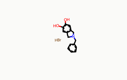 Br.Oc1cc2c(cc1O)CN(Cc1ccccc1)C2